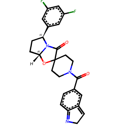 O=C(c1ccc2c(c1)=CCN=2)N1CCC2(CC1)O[C@@H]1CC[C@@H](c3cc(F)cc(F)c3)N1C2=O